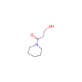 O=C(CCO)N1CCCCC1